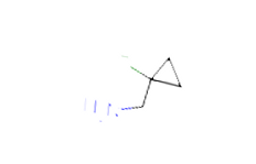 NCC1(F)CC1